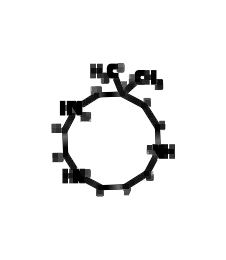 CC1(C)CCNCCCNCCNC1